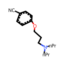 CCCN(CCC)CCCOc1ccc(C#N)cc1